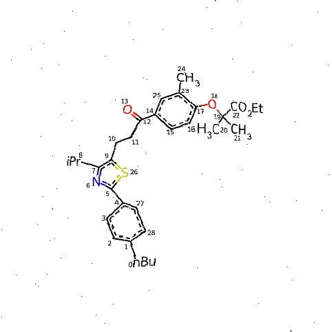 CCCCc1ccc(-c2nc(C(C)C)c(CCC(=O)c3ccc(OC(C)(C)C(=O)OCC)c(C)c3)s2)cc1